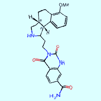 COc1cccc2c1CC[C@H]1CNC(CCn3c(=O)[nH]c4cc(C(N)=O)ccc4c3=O)[C@@H]21